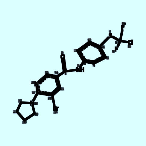 O=C(Nc1ccc(SC(F)(F)Cl)cc1)c1cnc(N2CCCC2)c(Br)c1